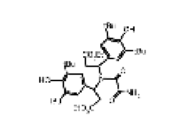 CCOC(=O)CC(c1cc(C(C)(C)C)c(O)c(C(C)(C)C)c1)N(C(=O)C(N)=O)C(CC(=O)OCC)c1cc(C(C)(C)C)c(O)c(C(C)(C)C)c1